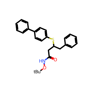 CC(C)(C)ONC(=O)CC(Cc1ccccc1)Sc1ccc(-c2ccccc2)cc1